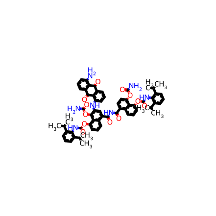 CC(C)c1cccc(C(C)C)c1NC(=O)Oc1cccc2c(C(=O)NC(=O)c3cc(Nc4cccc5c4C(=O)c4cccc(N)c4C5=O)c(OC(N)=O)c4c(OC(=O)Nc5c(C(C)C)cccc5C(C)C)cccc34)ccc(OC(N)=O)c12